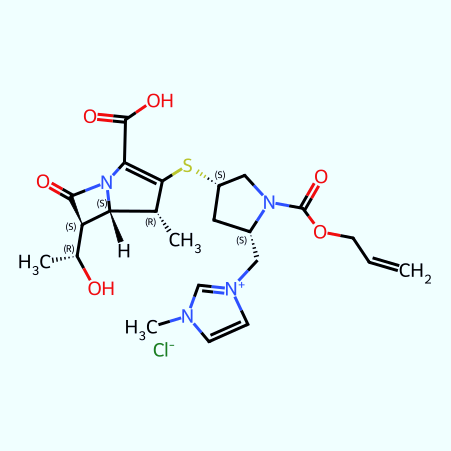 C=CCOC(=O)N1C[C@@H](SC2=C(C(=O)O)N3C(=O)[C@H]([C@@H](C)O)[C@H]3[C@H]2C)C[C@H]1C[n+]1ccn(C)c1.[Cl-]